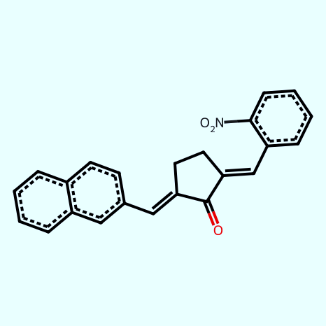 O=C1/C(=C/c2ccc3ccccc3c2)CC/C1=C\c1ccccc1[N+](=O)[O-]